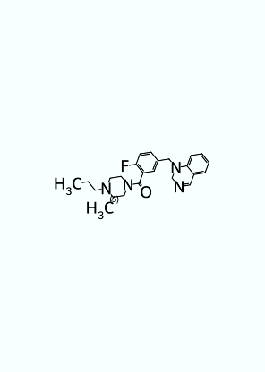 CCCN1CCN(C(=O)c2cc(CN3CN=Cc4ccccc43)ccc2F)C[C@@H]1C